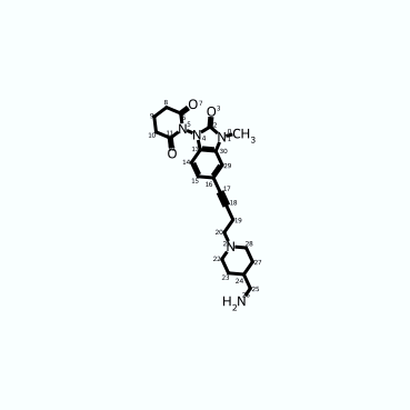 Cn1c(=O)n(N2C(=O)CCCC2=O)c2ccc(C#CCCN3CCC(CN)CC3)cc21